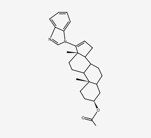 CC(=O)O[C@H]1CC[C@@]2(C)C(CCC3C2CC[C@]2(C)C(n4cnc5ccccc54)=CCC32)C1